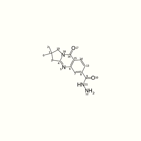 CC1(C)Cc2nc3cc(C(=O)NN)ccc3c(=O)n2C1